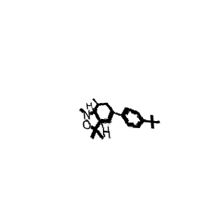 C[C@H]1C[C@@H](c2ccc(C(C)(C)C)cc2)C[C@@H]2[C@@H]1N(C)OC2(C)C